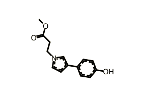 COC(=O)CCn1ccc(-c2ccc(O)cc2)c1